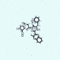 Cc1nc2ccccc2nc1C(=O)NC(Cc1ccccc1)C(=C=O)NC(C=C=O)C[C@@H]1CCNC1=C=O